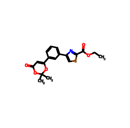 CCOC(=O)c1nc(-c2cccc(C3=CC(=O)OC(C)(C)O3)c2)cs1